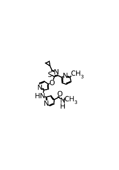 CNC(=O)c1ccnc(Nc2cc(Oc3sc(C4CC4)nc3-c3cccc(C)n3)ccn2)c1